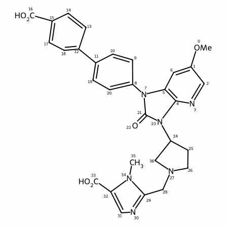 COc1cnc2c(c1)n(-c1ccc(-c3ccc(C(=O)O)cc3)cc1)c(=O)n2C1CCN(Cc2ncc(C(=O)O)n2C)C1